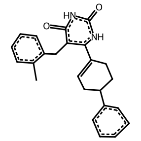 Cc1ccccc1Cc1c(C2=CCC(c3ccccc3)CC2)[nH]c(=O)[nH]c1=O